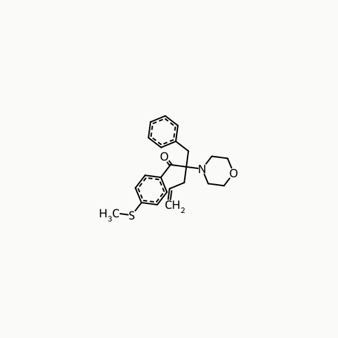 C=CCC(Cc1ccccc1)(C(=O)c1ccc(SC)cc1)N1CCOCC1